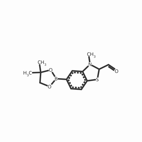 CN1c2cc(B3OCC(C)(C)O3)ccc2SC1C=O